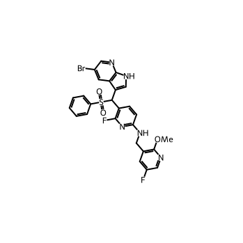 COc1ncc(F)cc1CNc1ccc(C(c2c[nH]c3ncc(Br)cc23)S(=O)(=O)c2ccccc2)c(F)n1